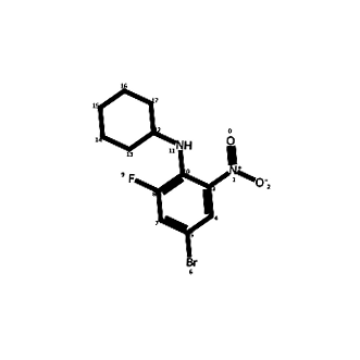 O=[N+]([O-])c1cc(Br)cc(F)c1NC1CCCCC1